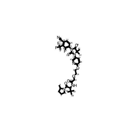 CC1CCCN1C(=O)C(NC(=O)COCCOc1ccc(N2C(=S)N(c3ccc(C#N)c(C(F)(F)F)c3F)C(=O)C2(C)C)cn1)C(C)(C)C